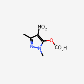 Cc1nn(C)c(OC(=O)O)c1[N+](=O)[O-]